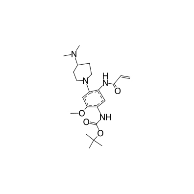 C=CC(=O)Nc1cc(NC(=O)OC(C)(C)C)c(OC)cc1N1CCC(N(C)C)CC1